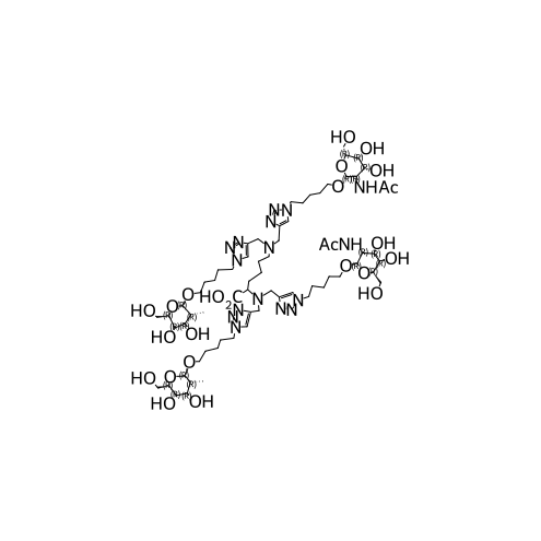 CC(=O)N[C@H]1[C@H](OCCCCCn2cc(CN(CCCCC(C(=O)O)N(Cc3cn(CCCCCO[C@@H]4O[C@H](CO)[C@H](O)[C@H](O)[C@H]4C)nn3)Cc3cn(CCCCCO[C@@H]4O[C@H](CO)[C@H](O)[C@H](O)[C@H]4NC(C)=O)nn3)Cc3cn(CCCCCO[C@@H]4O[C@H](CO)[C@H](O)[C@H](O)[C@H]4C)nn3)nn2)O[C@H](CO)[C@H](O)[C@@H]1O